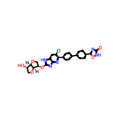 O=c1nc(-c2ccc(-c3ccc(-c4nc5nc(O[C@@H]6CO[C@H]7[C@@H]6OC[C@H]7O)[nH]c5cc4Cl)cc3)cc2)o[nH]1